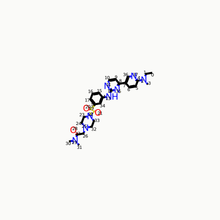 CCN(C)c1ccc(-c2ccnc(Nc3cccc(S(=O)(=O)N4CCN(CC(=O)N(C)C)CC4)c3)n2)cn1